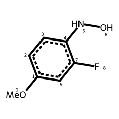 COc1ccc(NO)c(F)c1